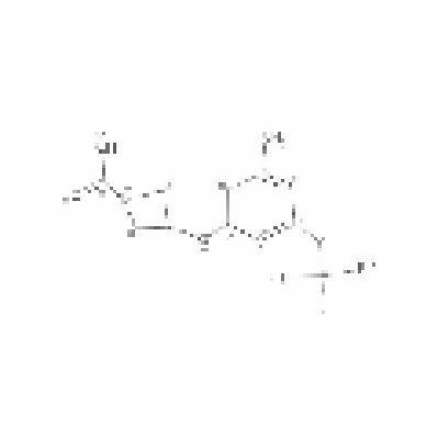 Nc1cc(CC(F)(F)F)cc(OC2CN(C(=O)O)C2)c1